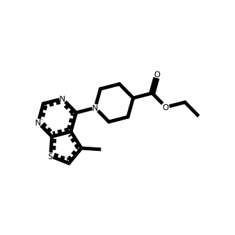 CCOC(=O)C1CCN(c2ncnc3scc(C)c23)CC1